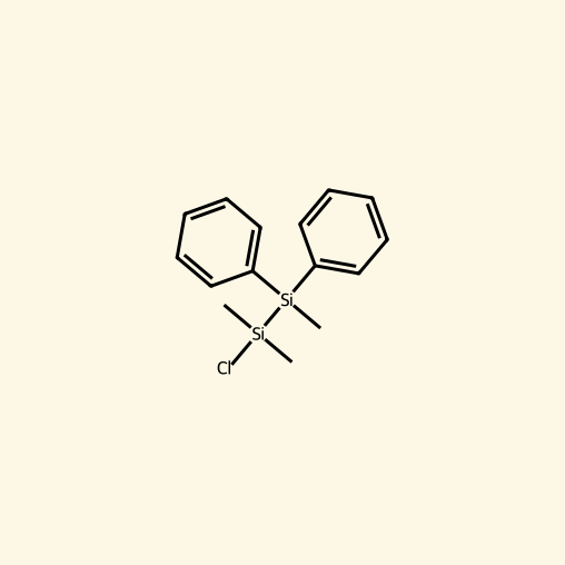 C[Si](C)(Cl)[Si](C)(c1ccccc1)c1ccccc1